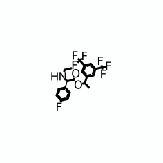 CC(O[C@H]1OCCN[C@@H]1c1ccc(F)cc1)c1cc(C(F)(F)F)cc(C(F)(F)F)c1